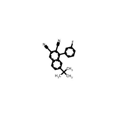 CC(C)(C)c1ccc2cc(C#N)c(C#N)c(-c3cccc(F)c3)c2c1